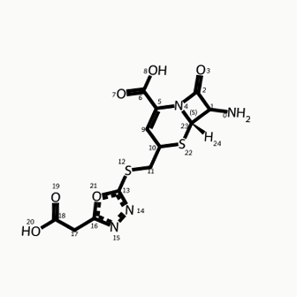 NC1C(=O)N2C(C(=O)O)=CC(CSc3nnc(CC(=O)O)o3)S[C@@H]12